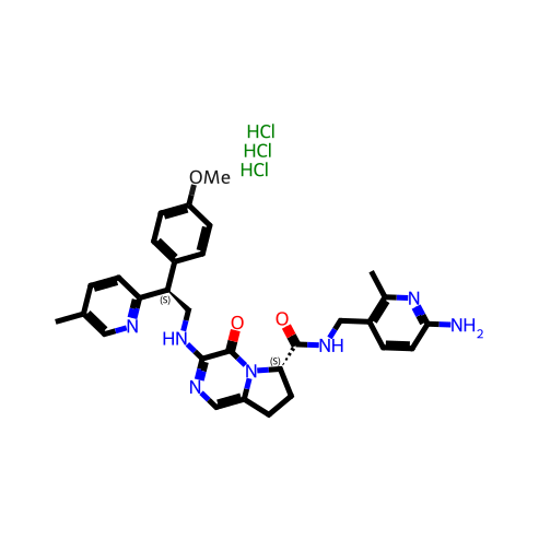 COc1ccc([C@@H](CNc2ncc3n(c2=O)[C@H](C(=O)NCc2ccc(N)nc2C)CC3)c2ccc(C)cn2)cc1.Cl.Cl.Cl